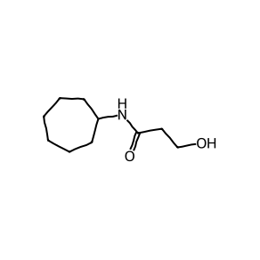 O=C(CCO)NC1CCCCCC1